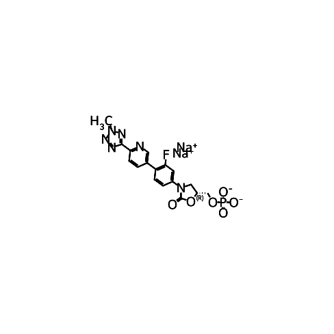 Cn1nnc(-c2ccc(-c3ccc(N4C[C@H](COP(=O)([O-])[O-])OC4=O)cc3F)cn2)n1.[Na+].[Na+]